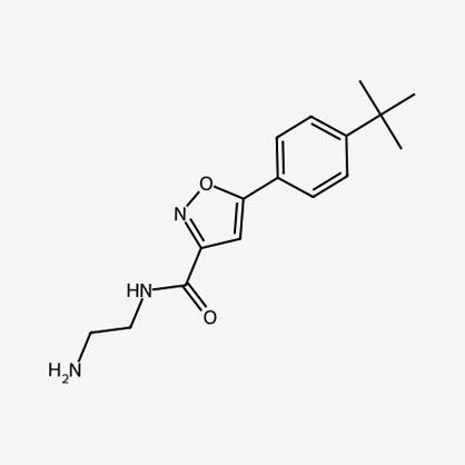 CC(C)(C)c1ccc(-c2cc(C(=O)NCCN)no2)cc1